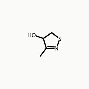 CC1=NSCC1O